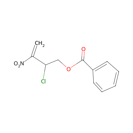 C=C(C(Cl)COC(=O)c1ccccc1)[N+](=O)[O-]